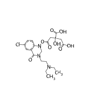 CCN(CC)CCN1CN(OC(=O)CC(O)(CC(=O)O)C(=O)O)c2ccc(Cl)cc2C1=O